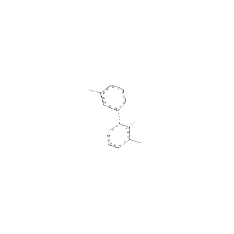 Cc1cccc(-c2nccc(C)c2C)c1